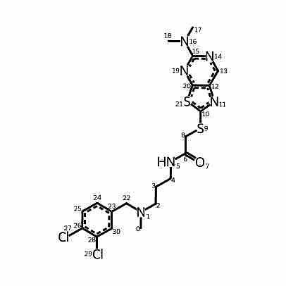 CN(CCCNC(=O)CSc1nc2cnc(N(C)C)nc2s1)Cc1ccc(Cl)c(Cl)c1